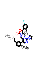 COc1ccc(CCC(=O)O)cc1-c1cnc(N2CCC2)nc1CN1C(=O)OC(c2cccc(F)c2)C1C